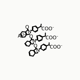 CC(C(=O)[O-])c1ccc(N2CC3=C(CC=CC3)C2=O)cc1.CC(C(=O)[O-])c1ccc(N2CC3=C(CC=CC3)C2=O)cc1.CC(C(=O)[O-])c1ccc(N2CC3=C(CC=CC3)C2=O)cc1.[Al+3]